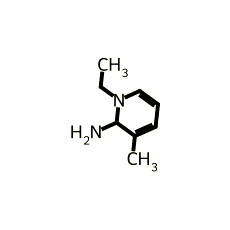 CCN1C=CC=C(C)C1N